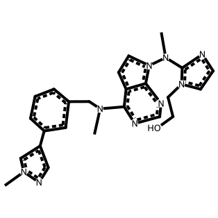 CN(Cc1cccc(-c2cnn(C)c2)c1)c1ncnc2c1ccn2N(C)c1nccn1CCO